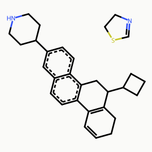 C1=CC2=C(CC1)C(C1CCC1)Cc1c2ccc2cc(C3CCNCC3)ccc12.C1=NCCS1